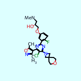 CNC[C@@H](O)COc1ccc(F)c(-c2nc(-c3c(C)noc3C)c(Cl)c(N3CC4(CCOCC4)C3)n2)c1